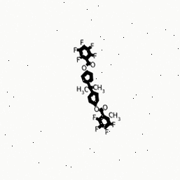 Cc1c(F)c(F)c(F)c(F)c1C(=O)Oc1ccc(C(C)(C)c2ccc(OC(=O)c3c(F)c(F)c(F)c(F)c3F)cc2)cc1